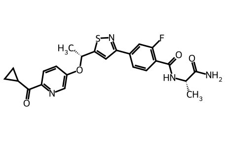 C[C@H](NC(=O)c1ccc(-c2cc([C@@H](C)Oc3ccc(C(=O)C4CC4)nc3)sn2)cc1F)C(N)=O